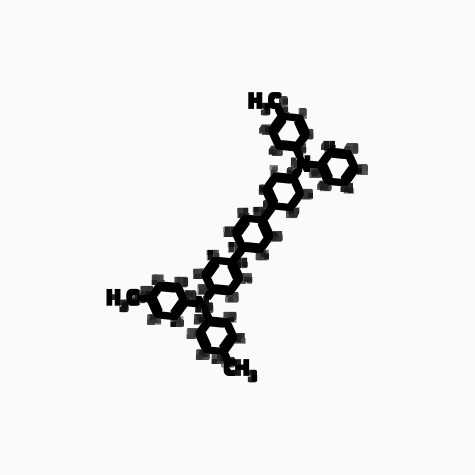 Cc1ccc(N(C2=CC=C(c3ccc(-c4ccc(N(c5ccc(C)cc5)c5ccc(C)cc5)cc4)cc3)CC2)c2ccccc2)cc1